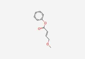 COCC=CC(=O)Oc1ccccc1